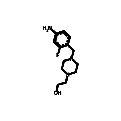 Nc1ccc(CN2CCN(CCO)CC2)c(F)c1